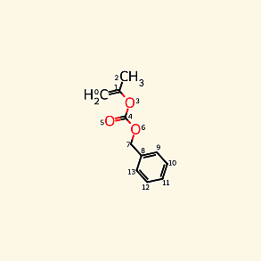 C=C(C)OC(=O)OCc1ccccc1